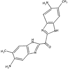 Cc1cc2[nH]c(C(=O)c3nc4cc(N)c(C)cc4[nH]3)nc2cc1N